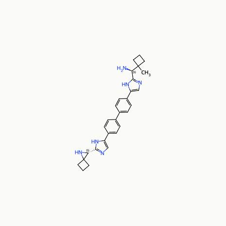 CC1([C@H](N)c2ncc(-c3ccc(-c4ccc(-c5cnc([C@H]6NC67CCC7)[nH]5)cc4)cc3)[nH]2)CCC1